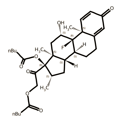 CCCCC(=O)OCC(=O)[C@@]1(OC(=O)CCCC)[C@@H](C)C[C@H]2[C@@H]3CCC4=CC(=O)C=C[C@]4(C)[C@@]3(F)[C@@H](O)C[C@@]21C